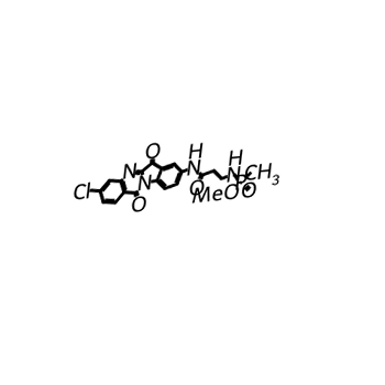 COP(C)(=O)NCCC(=O)Nc1ccc2c(c1)C(=O)c1nc3cc(Cl)ccc3c(=O)n1-2